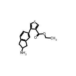 CCOC(=O)c1cscc1-c1ccc2c(c1)CC(N)C2